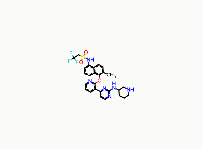 Cc1ccc2c(NS(=O)(=O)CC(F)(F)F)cccc2c1Oc1ncccc1-c1ccnc(NC2CCCNC2)n1